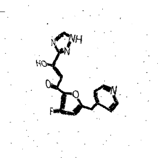 O=C(C=C(O)c1nc[nH]n1)c1oc(Cc2ccncc2)cc1F